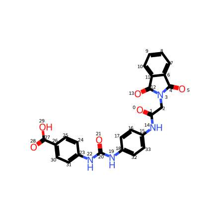 O=C(CN1C(=O)c2ccccc2C1=O)Nc1ccc(NC(=O)Nc2ccc(C(=O)O)cc2)cc1